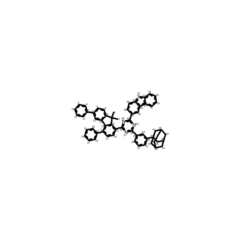 CC1(C)c2ccc(-c3ccccc3)cc2-c2c(-c3ccccc3)ccc(-c3nc(-c4cccc(C56CC7CC(CC(C7)C5)C6)c4)nc(-c4ccc5sc6ccccc6c5c4)n3)c21